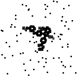 Cc1ccnc(Oc2ccc(-c3c(C4=CCN(C(=O)OC(C)(C)C)CC4)n(C)c4ncnc(N)c34)c(C=O)c2)n1